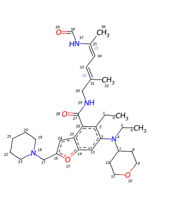 CCc1c(N(CC)C2CCOCC2)cc2oc(CN3CCCCC3)cc2c1C(=O)NC/C(C)=C/C=C(/C)NC=O